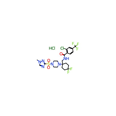 Cl.Cn1cnc(S(=O)(=O)N2CCN(C3(CNC(=O)c4ccc(C(F)(F)F)cc4Cl)CCC(F)(F)CC3)CC2)n1